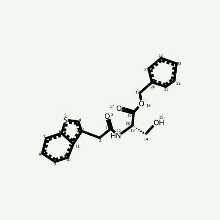 O=C(Cc1csc2ccccc12)N[C@@H](CO)C(=O)OCc1ccccc1